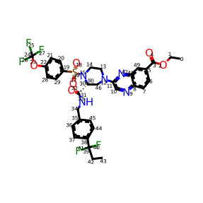 CCOC(=O)c1ccc2ncc(N3CCN(S(=O)(=O)c4ccc(OC(F)(F)F)cc4)[C@@H](C(=O)NCc4ccc(C(F)(F)CC)cc4)C3)nc2c1